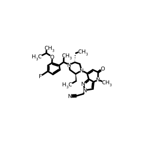 CC[C@H]1CN(C(C)c2ccc(F)cc2OC(C)C)[C@H](CC)CN1c1cc(=O)n(C)c2cn(CC#N)nc12